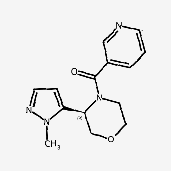 Cn1nccc1[C@@H]1COCCN1C(=O)c1cc[c]nc1